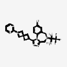 CC(C)(N1Cc2cc(Cl)ccc2-n2c(nnc2C2CC3(C2)CN(c2ncccn2)C3)C1)C(F)(F)F